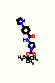 CC(C)(C)OC(=O)N1CCC(NC(=O)c2ccc(-n3cccn3)cc2)C1